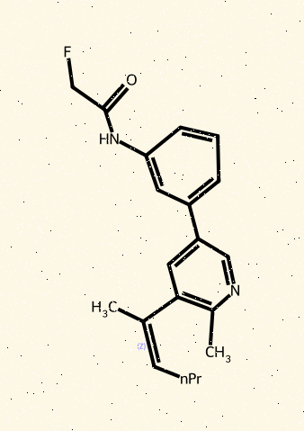 CCC/C=C(/C)c1cc(-c2cccc(NC(=O)CF)c2)cnc1C